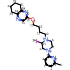 Cc1cccc(N2CCN(CCCCOc3cnc4c(n3)CCCC4)C(I)C2)n1